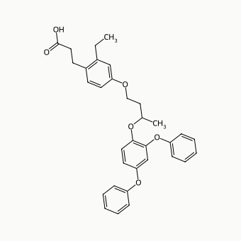 CCc1cc(OCCC(C)Oc2ccc(Oc3ccccc3)cc2Oc2ccccc2)ccc1CCC(=O)O